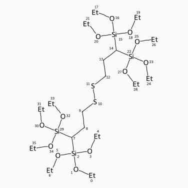 CCO[Si](OCC)(OCC)C(CCSSCCC([Si](OCC)(OCC)OCC)[Si](OCC)(OCC)OCC)[Si](OCC)(OCC)OCC